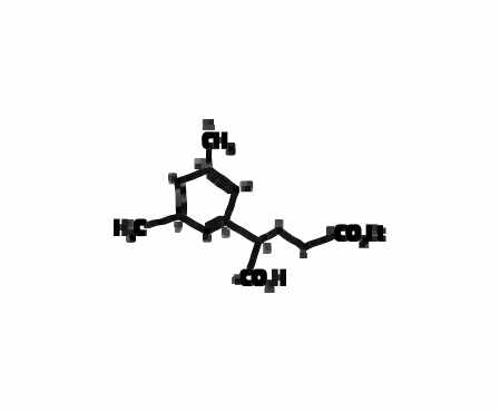 CCOC(=O)CCC(C(=O)O)c1cc(C)cc(C)c1